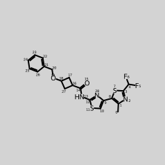 Cc1nc(C(F)F)sc1-c1csc(NC(=O)C2CC(OCc3ccccc3)C2)n1